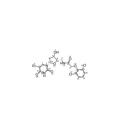 CCc1cn([C@@H]2CC(O)[C@H](CNC(=O)COc3c(Cl)cccc3Cl)O2)c(=O)[nH]c1=O